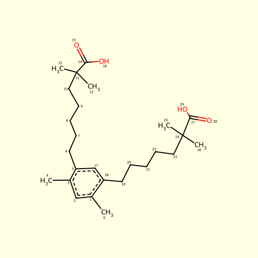 Cc1cc(C)c(CCCCCC(C)(C)C(=O)O)cc1CCCCCC(C)(C)C(=O)O